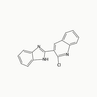 Clc1nc2ccccc2cc1-c1nc2ccccc2[nH]1